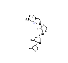 Cc1cc(-c2ncc(CNc3ncnc(N4CCN(N)/C(=C\N)C4)c3F)cc2F)ccn1